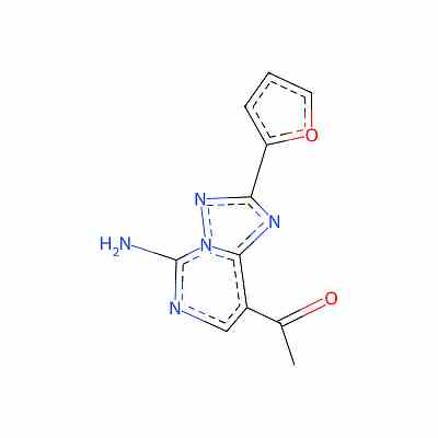 CC(=O)c1cnc(N)n2nc(-c3ccco3)nc12